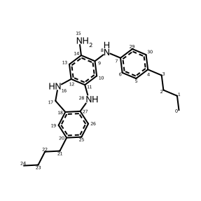 CCCCc1ccc(Nc2cc3c(cc2N)NCc2cc(CCCC)ccc2N3)cc1